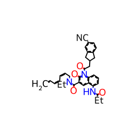 C=C/C=C\C=C/CN(CC)C(=O)c1cc2c(NC(=O)CC)cccc2n(C(=O)CC2Cc3ccc(C#N)cc3C2)c1=O